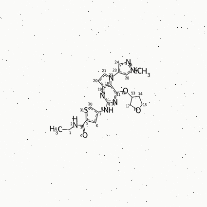 CCNC(=O)c1cc(Nc2nc(OC3CCOC3)c3c(ccn3-c3cnn(C)c3)n2)cs1